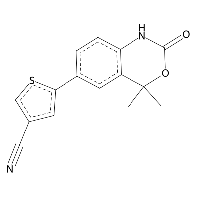 CC1(C)OC(=O)Nc2ccc(-c3cc(C#N)cs3)cc21